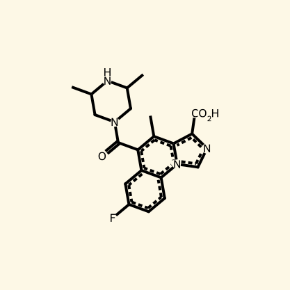 Cc1c(C(=O)N2CC(C)NC(C)C2)c2cc(F)ccc2n2cnc(C(=O)O)c12